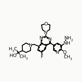 COc1ncc(-c2nc(N3CCOCC3)nc3c(CN4CCC(C(C)(C)O)CC4)cc(F)cc23)cc1NN